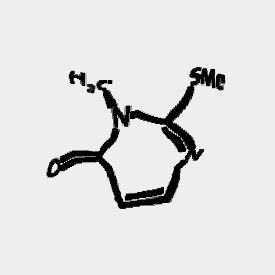 CSc1nccc(=O)n1C